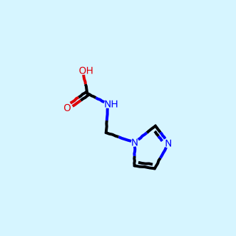 O=C(O)NCn1ccnc1